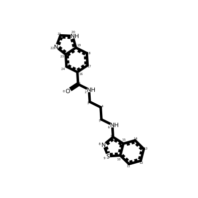 O=C(NCCCNc1nsc2ccccc12)c1ccc2[nH]cnc2c1